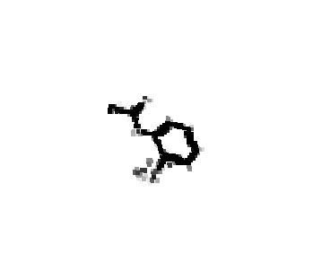 CC(C)C(=O)Sc1ccccc1C(=O)O